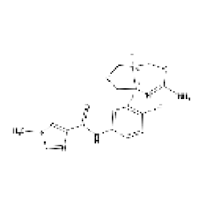 Cn1cnc(C(=O)Nc2ccc(F)c([C@]34CCC[C@H]3CSC(N)=N4)c2)c1